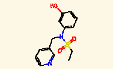 CCS(=O)(=O)N(Cc1cccnc1)c1cccc(O)c1